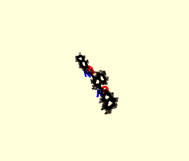 c1ccc2cc3oc(-c4ccc(-c5nc6cc7ccccc7cc6o5)c5ccccc45)nc3cc2c1